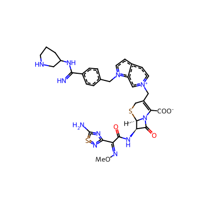 CON=C(C(=O)N[C@@H]1C(=O)N2C(C(=O)[O-])=C(C[n+]3ccc4ccn(Cc5ccc(C(=N)NC6CCCNC6)cc5)c4c3)CS[C@H]12)c1nsc(N)n1